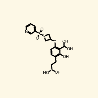 O=S(=O)(c1cccnc1)N1CC(Oc2ccc(CCB(O)O)c(O)c2C(O)O)C1